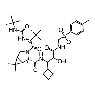 Cc1ccc(S(=O)(=O)CNC(=O)C(O)C(NC(=O)[C@@H]2C3C(CN2C(=O)[C@@H](NC(=O)NC(C)(C)C)C(C)(C)C)C3(C)C)C2CCC2)cc1